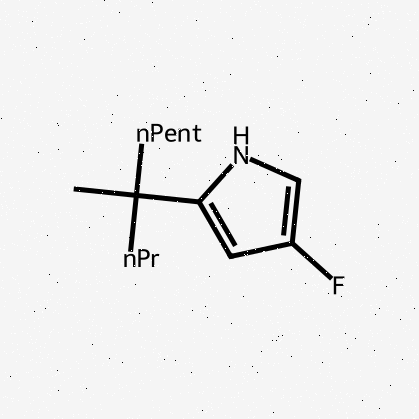 CCCCCC(C)(CCC)c1cc(F)c[nH]1